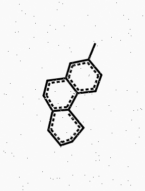 Cc1ccc2c(ccc3c[c]ccc32)c1